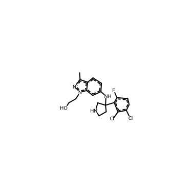 Cc1nn(CCO)c2cc(NC3(c4c(F)ccc(Cl)c4Cl)CCNC3)ccc12